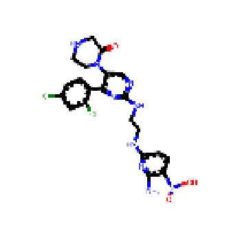 Nc1nc(NCCNc2ncc(N3CCNCC3=O)c(-c3ccc(Cl)cc3Cl)n2)ccc1N(O)O